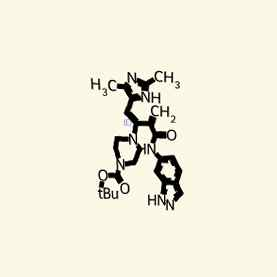 C=C(C(=O)Nc1ccc2cn[nH]c2c1)/C(=C\c1[nH]c(C)nc1C)N1CCN(C(=O)OC(C)(C)C)CC1